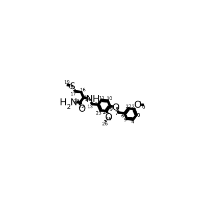 COc1cccc(COc2ccc(CNC(CCSC)C(N)=O)cc2OC)c1